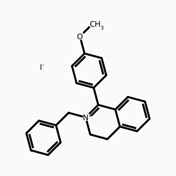 COc1ccc(C2=[N+](Cc3ccccc3)CCc3ccccc32)cc1.[I-]